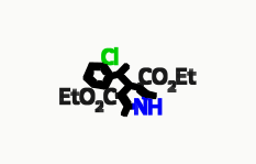 CCOC(=O)C1=C(C)NC(C)=C(C(=O)OCC)C1C(C)c1ccccc1Cl